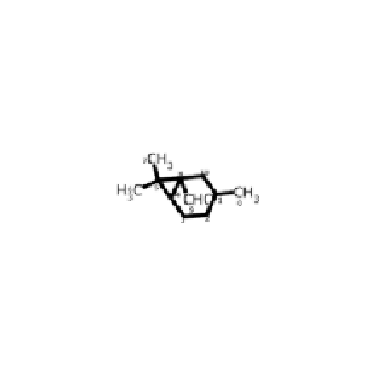 CC1CCC2C(C)(C)C2(C=O)C1